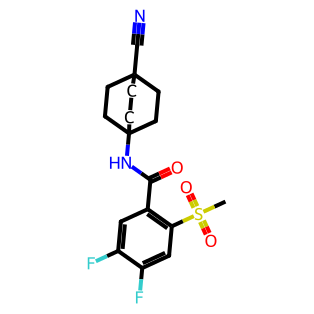 CS(=O)(=O)c1cc(F)c(F)cc1C(=O)NC12CCC(C#N)(CC1)CC2